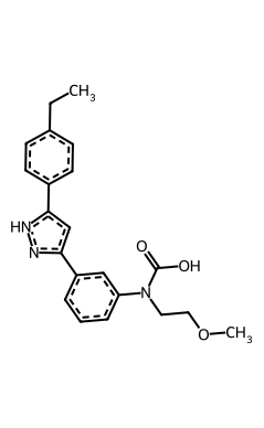 CCc1ccc(-c2cc(-c3cccc(N(CCOC)C(=O)O)c3)n[nH]2)cc1